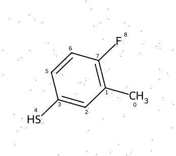 Cc1cc(S)ccc1F